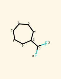 FC(F)C1CCCCCC1